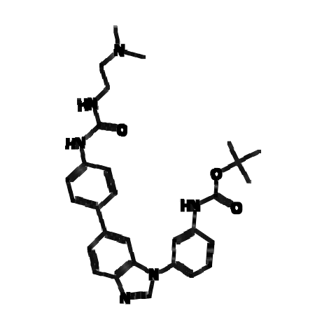 CN(C)CCNC(=O)Nc1ccc(-c2ccc3ncn(-c4cccc(NC(=O)OC(C)(C)C)c4)c3c2)cc1